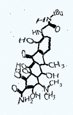 CC1c2ccc(NC(=O)NC(C)(C)C)c(O)c2C(=O)C2=C(O)C3(O)C(=O)C(C(N)=O)=C(O)C(N(C)C)C3C(O)C21